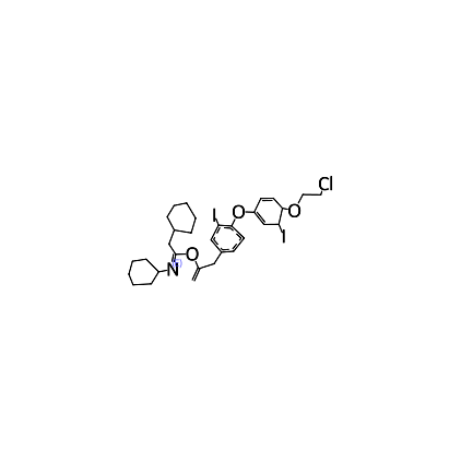 C=C(Cc1ccc(OC2=CC(I)C(OCCCl)C=C2)c(I)c1)O/C(CC1CCCCC1)=N/C1CCCCC1